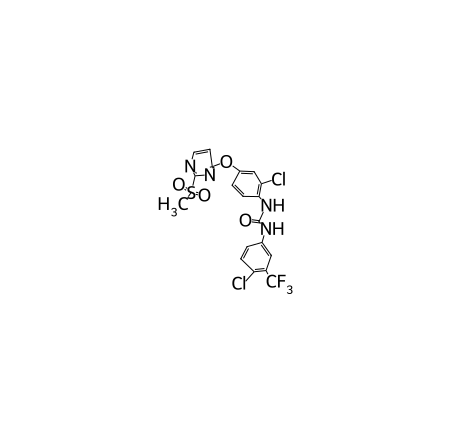 CS(=O)(=O)c1nccc(Oc2ccc(NC(=O)Nc3ccc(Cl)c(C(F)(F)F)c3)c(Cl)c2)n1